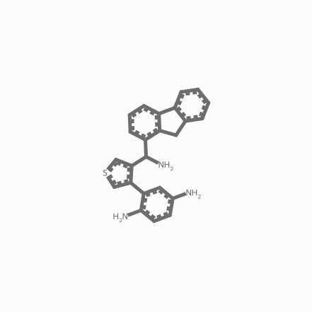 Nc1ccc(N)c(-c2cscc2C(N)c2cccc3c2Cc2ccccc2-3)c1